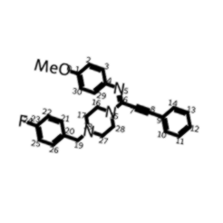 COc1ccc(N=C(C#Cc2ccccc2)N2CCN(Cc3ccc(F)cc3)CC2)cc1